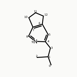 CC(C)Cc1cc2c(cn1)CCC2